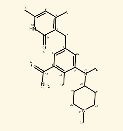 Cc1cc(C)c(Cc2cc(C(N)=O)c(C)c(N(C)C3CCN(C)CC3)c2)c(=O)[nH]1